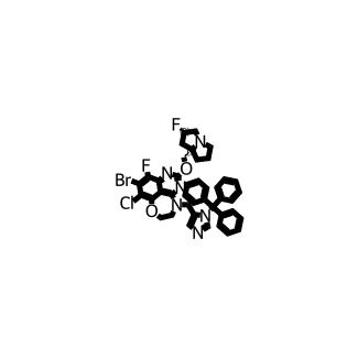 Fc1c(Br)c(Cl)c2c3c(nc(OC[C@@]45CCCN4C[C@H](F)C5)nc13)N(Cc1cncn1C(c1ccccc1)(c1ccccc1)c1ccccc1)CCO2